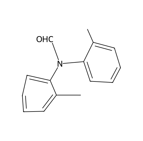 Cc1ccccc1N(C=O)c1ccccc1C